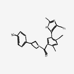 CCc1nc(C)[nH]c1-c1cc(C(=O)N2CC(c3ccc(C#N)cc3)C2)c(C)cc1C